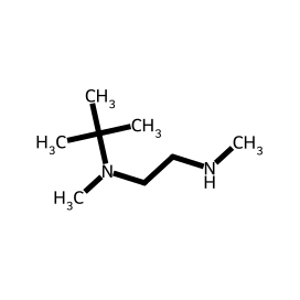 CNCCN(C)C(C)(C)C